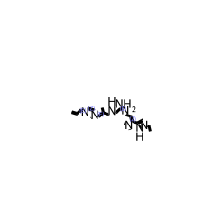 C=C/C=N/C=C\N(C)/C=C(\C)CNC/C(N)=N\C/C=C(/c1cn(CC)[nH]1)N(C)C